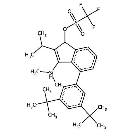 CC(C)C1=C([SiH](C)C)c2c(-c3cc(C(C)(C)C)cc(C(C)(C)C)c3)cccc2C1OS(=O)(=O)C(F)(F)F